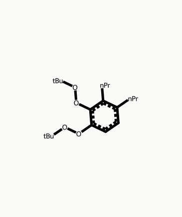 CCCc1ccc(OOC(C)(C)C)c(OOC(C)(C)C)c1CCC